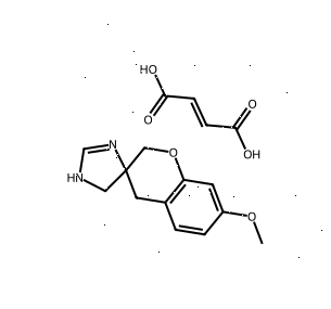 COc1ccc2c(c1)OCC1(CNC=N1)C2.O=C(O)/C=C/C(=O)O